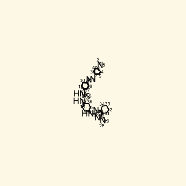 CN(C)c1ccc(N=Nc2ccc(NC(=S)NC3CCC(Nc4nc5c(c(N(C)C)n4)CCCC5)CC3)cc2)cc1